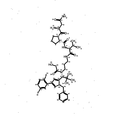 CC(C)[C@H](NC(=O)[C@@H]1CCCN1C(=O)[C@@H](N)CC(N)=O)C(=O)NCCCN(C(=O)CO)[C@@H](c1cc(-c2cc(F)ccc2F)cn1Cc1ccccc1)C(C)(C)C